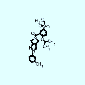 CCS(=O)(=O)c1ccc(OC(C)C)c(C(=O)N2Cc3cn(-c4cccc(C)c4)nc3C2)c1